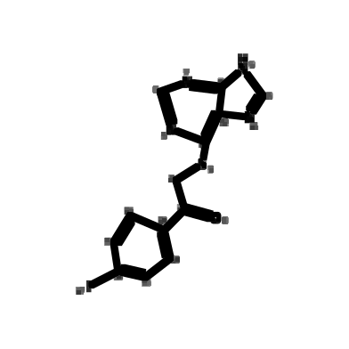 O=C(CSc1ncnc2[nH]cnc12)c1ccc(I)cc1